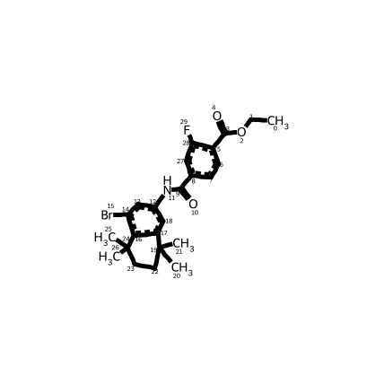 CCOC(=O)c1ccc(C(=O)Nc2cc(Br)c3c(c2)C(C)(C)CCC3(C)C)cc1F